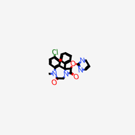 CN1C(=O)CN2C(=O)C(Oc3ncccn3)C2(c2ccccc2)c2cc(Cl)ccc21